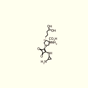 NC1CC1Nc1c(N2C[C@H](CCCB(O)O)[C@](N)(C(=O)O)C2)c(=O)c1=O